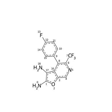 Nc1oc2cnc(C(F)(F)F)c(-c3ccc(F)cc3)c2c1N